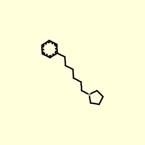 [CH](CCCc1ccccc1)CCN1CCCC1